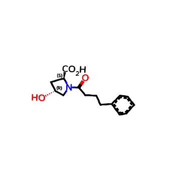 O=C(O)[C@@H]1C[C@@H](O)CN1C(=O)CCCc1ccccc1